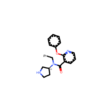 CC(C)CN(C(=O)c1cccnc1Oc1ccccc1)[C@H]1CCNC1